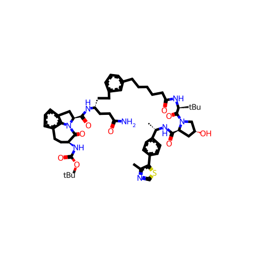 Cc1ncsc1-c1ccc([C@H](C)NC(=O)[C@@H]2C[C@@H](O)CN2C(=O)[C@@H](NC(=O)CCCCCc2cccc(CC[C@H](CCC(N)=O)NC(=O)[C@@H]3Cc4cccc5c4N3C(=O)[C@@H](NC(=O)OC(C)(C)C)CC5)c2)C(C)(C)C)cc1